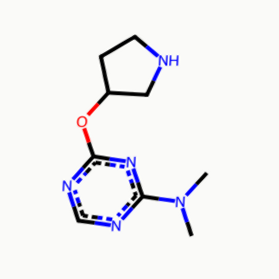 CN(C)c1ncnc(OC2CCNC2)n1